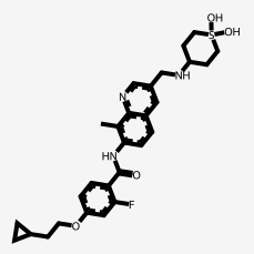 Cc1c(NC(=O)c2ccc(OCCC3CC3)cc2F)ccc2cc(CNC3CCS(O)(O)CC3)cnc12